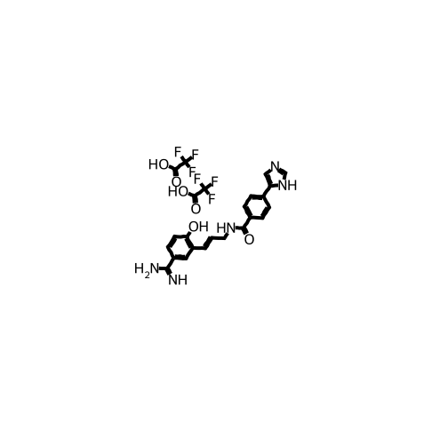 N=C(N)c1ccc(O)c(/C=C/CNC(=O)c2ccc(-c3cnc[nH]3)cc2)c1.O=C(O)C(F)(F)F.O=C(O)C(F)(F)F